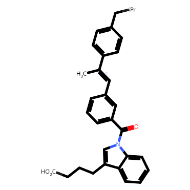 C/C(=C\c1cccc(C(=O)n2cc(CCCC(=O)O)c3ccccc32)c1)c1ccc(CC(C)C)cc1